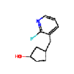 OC1CCC(Cc2cccnc2F)C1